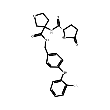 O=C1CC[C@@H](C(=O)NC2(C(=O)NCc3ccc(Nc4ccccc4C(F)(F)F)cc3)CCOC2)N1